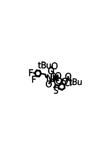 CC(C)(C)C(=O)OCOP(=O)(OCOC(=O)C(C)(C)C)C(C(=O)N/C=C/c1ccc(F)c(F)c1)c1csc2ccc(Cl)cc12